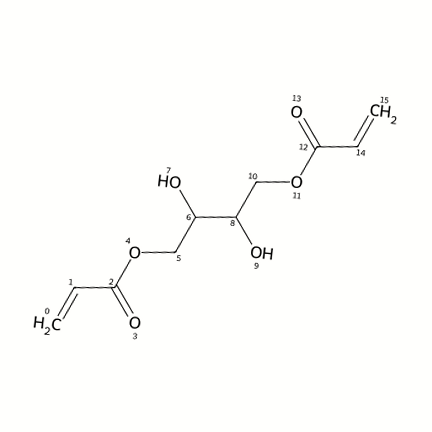 C=CC(=O)OCC(O)C(O)COC(=O)C=C